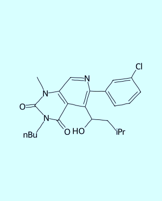 CCCCn1c(=O)c2c(C(O)CC(C)C)c(-c3cccc(Cl)c3)ncc2n(C)c1=O